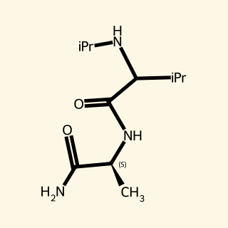 CC(C)NC(C(=O)N[C@@H](C)C(N)=O)C(C)C